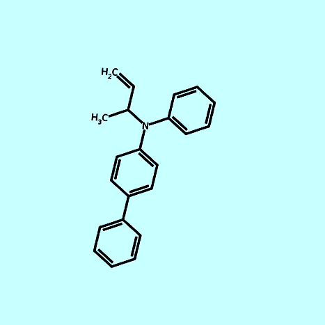 C=CC(C)N(c1ccccc1)c1ccc(-c2ccccc2)cc1